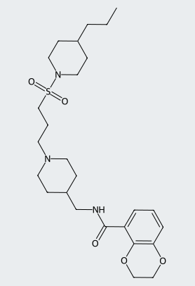 CCCC1CCN(S(=O)(=O)CCCN2CCC(CNC(=O)c3cccc4c3OCCO4)CC2)CC1